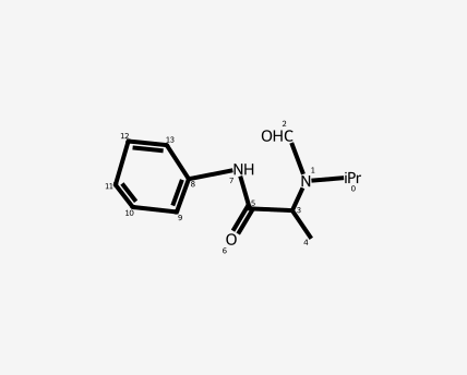 CC(C)N(C=O)C(C)C(=O)Nc1ccccc1